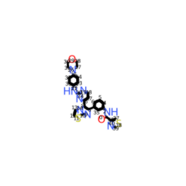 O=C(Nc1cccc(-c2nc3sccn3c2-c2ccnc(Nc3ccc(N4CCOCC4)cc3)n2)c1)c1cscn1